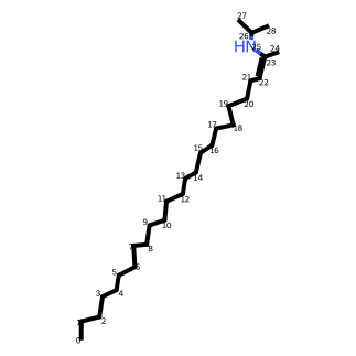 CCCCCCCCCCCCCCCCCCCCCCC=C(C)NC(C)C